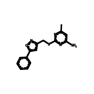 Cc1cc(N)nc(SCc2cc(-c3ccccc3)on2)n1